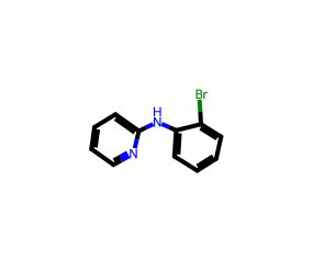 Brc1ccccc1Nc1ccccn1